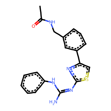 CC(=O)NCc1cccc(-c2csc(N=C(N)Nc3ccccc3)n2)c1